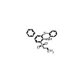 C=CCS(=O)(=O)c1cccc2c1Nc1ccccc1S2.c1ccccc1